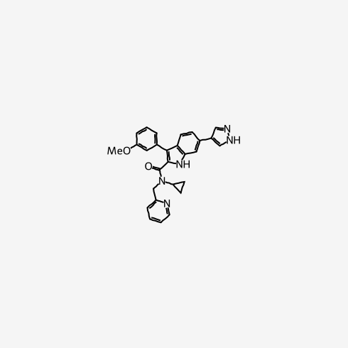 COc1cccc(-c2c(C(=O)N(Cc3ccccn3)C3CC3)[nH]c3cc(-c4cn[nH]c4)ccc23)c1